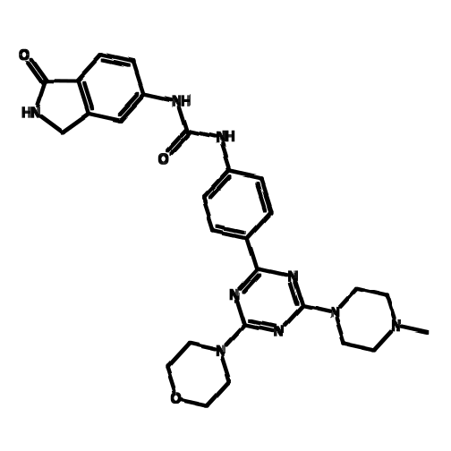 CN1CCN(c2nc(-c3ccc(NC(=O)Nc4ccc5c(c4)CNC5=O)cc3)nc(N3CCOCC3)n2)CC1